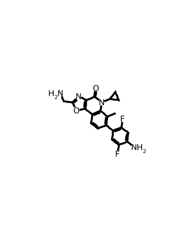 Cc1c(-c2cc(F)c(N)cc2F)ccc2c3oc(CN)nc3c(=O)n(C3CC3)c12